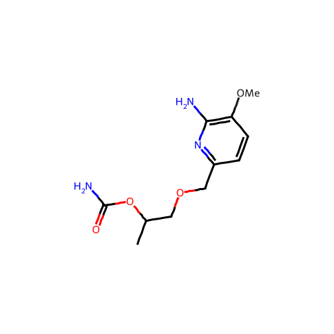 COc1ccc(COCC(C)OC(N)=O)nc1N